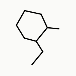 CC[C]1CCCCC1C